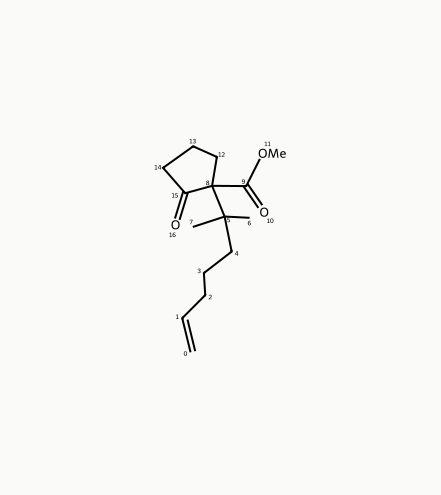 C=CCCCC(C)(C)C1(C(=O)OC)CCCC1=O